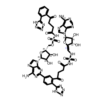 Nc1nc(-c2ccc(-c3nnn[nH]3)c(C(=O)CCC(=O)NS(=O)(=O)N/C=C3/O[C@@H](n4cnc5c(N)ncnc54)[C@H](O)[C@@H]3O)c2)nc2c1ncn2[C@@H]1O[C@H](COS(=O)(=O)NC(=O)CCC(=O)c2ccccc2-c2nnn[nH]2)[C@@H](O)[C@H]1O